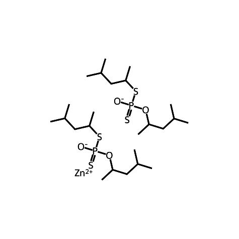 CC(C)CC(C)OP([O-])(=S)SC(C)CC(C)C.CC(C)CC(C)OP([O-])(=S)SC(C)CC(C)C.[Zn+2]